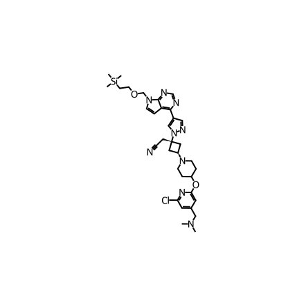 CN(C)Cc1cc(Cl)nc(OC2CCN([C@H]3C[C@](CC#N)(n4cc(-c5ncnc6c5ccn6COCC[Si](C)(C)C)cn4)C3)CC2)c1